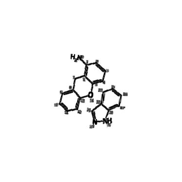 Nc1cccc2c1Cc1ccccc1O2.c1ccc2[nH]ncc2c1